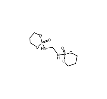 O=P1(NCNP2(=O)OCCCO2)OCCCO1